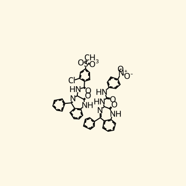 CS(=O)(=O)c1ccc(C(=O)NC2N=C(c3ccccc3)c3ccccc3NC2=O)c(Cl)c1.O=C(Nc1ccc([N+](=O)[O-])cc1)NC1N=C(c2ccccc2)c2ccccc2NC1=O